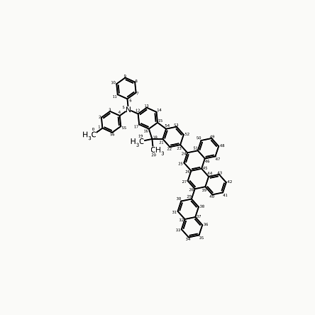 Cc1ccc(N(c2ccccc2)c2ccc3c(c2)C(C)(C)c2cc(-c4cc5cc(-c6ccc7ccccc7c6)c6ccccc6c5c5ccccc45)ccc2-3)cc1